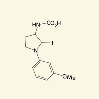 COc1cccc(N2CCC(NC(=O)O)C2I)c1